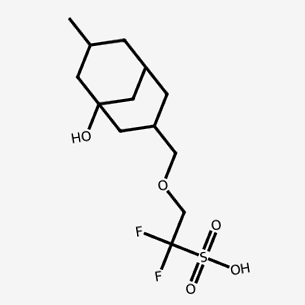 CC1CC2CC(COCC(F)(F)S(=O)(=O)O)CC(O)(C1)C2